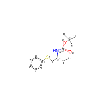 [CH2]C[C@H](CSc1ccccc1)NC(=O)OC(C)(C)C